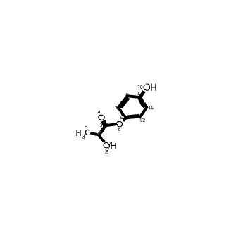 CC(O)C(=O)Oc1ccc(O)cc1